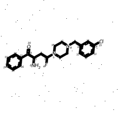 NC(CC(F)N1CCN(Cc2cccc(Cl)c2)CC1)C(=O)c1ccccc1